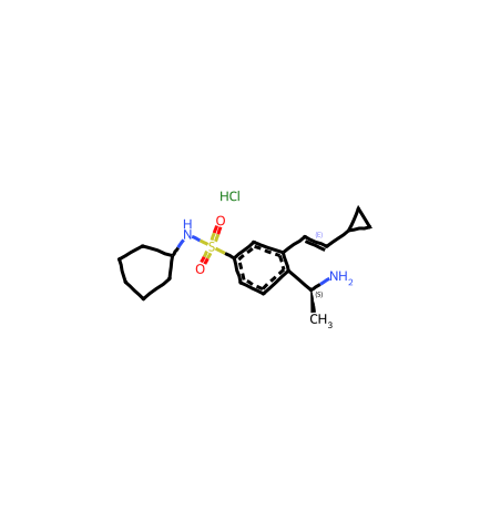 C[C@H](N)c1ccc(S(=O)(=O)NC2CCCCC2)cc1/C=C/C1CC1.Cl